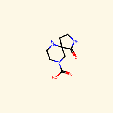 O=C(O)N1CCNC2(CCNC2=O)C1